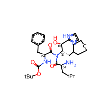 CC(C)C[C@H](N)C(=O)N(C(=O)[C@H](Cc1ccccc1)NC(=O)OC(C)(C)C)[C@@H](CC1CCCCC1)[C@@H](O)c1ncc[nH]1